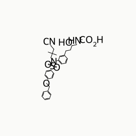 CC(C)(CCC#N)CN(c1cccc(CC[C@H](O)CNC(=O)O)c1)S(=O)(=O)c1ccc(OCc2ccccc2)cc1